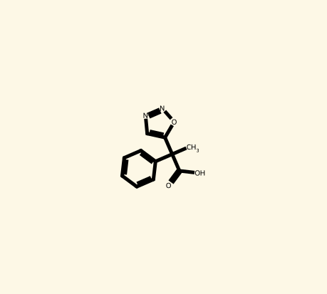 CC(C(=O)O)(c1ccccc1)c1cnno1